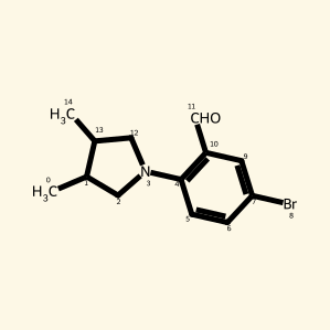 CC1CN(c2ccc(Br)cc2C=O)CC1C